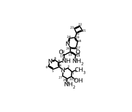 CC1CN(c2ccncc2NC(=O)c2c(N)oc3cc(C4=CC=C4)cnc23)CC(N)C1O